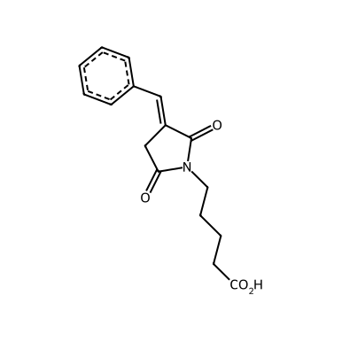 O=C(O)CCCCN1C(=O)C/C(=C\c2ccccc2)C1=O